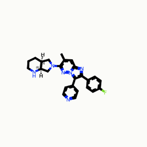 Cc1cc2nc(-c3ccc(F)cc3)c(-c3ccncc3)n2nc1N1C[C@@H]2CCCN[C@@H]2C1